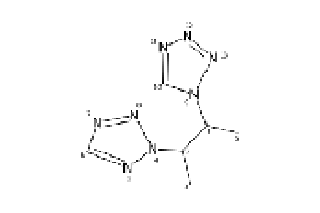 CC(C(C)n1ncnn1)n1cnnn1